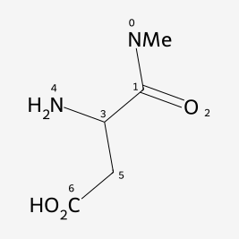 [CH2]NC(=O)C(N)CC(=O)O